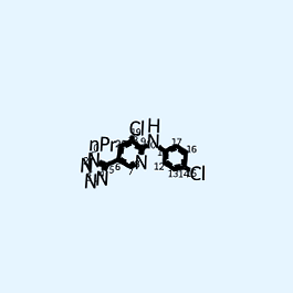 CCCn1nnnc1-c1cnc(Nc2ccc(Cl)cc2)c(Cl)c1